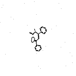 CC[C@@H](C)/C(=C\C(=O)c1ccccc1)c1ccccc1